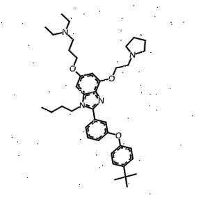 CCCCn1c(-c2cccc(Oc3ccc(C(C)(C)C)cc3)c2)nc2c(OCCN3CCCC3)cc(OCCCN(CC)CC)cc21